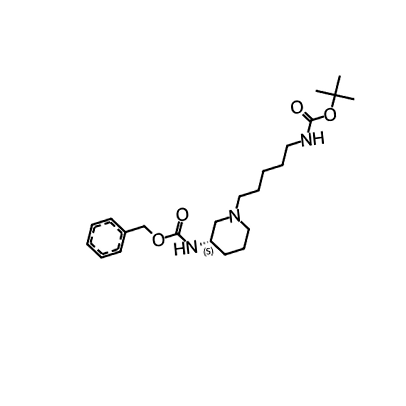 CC(C)(C)OC(=O)NCCCCCN1CCC[C@H](NC(=O)OCc2ccccc2)C1